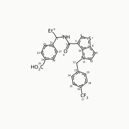 CCC(NC(=O)c1csc2ccn(Cc3ccc(C(F)(F)F)cc3)c12)c1ccc(C(=O)O)cc1